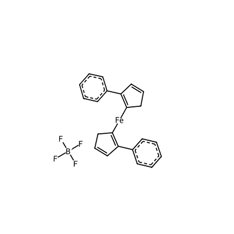 C1=CC(c2ccccc2)=[C]([Fe][C]2=C(c3ccccc3)C=CC2)C1.F[B-](F)(F)F